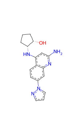 Nc1cc(N[C@@H]2CCC[C@@H]2O)c2ccc(-n3cccn3)cc2n1